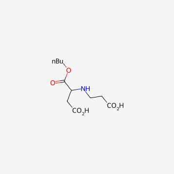 CCCCOC(=O)C(CC(=O)O)NCCC(=O)O